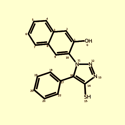 Oc1cc2ccccc2cc1-n1nnc(S)c1-c1ccccc1